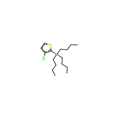 CCC[CH2][Sn]([CH2]CCC)([CH2]CCC)[c]1sccc1Cl